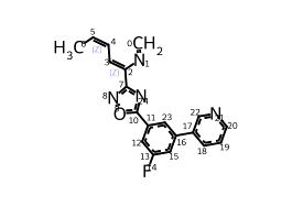 C=N/C(=C\C=C/C)c1noc(-c2cc(F)cc(-c3cccnc3)c2)n1